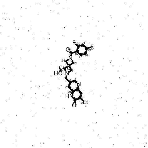 CCc1cc2ncc(CN3CC4(C3)CN(C(=O)c3ccc(F)cc3F)C4)cc2[nH]c1=O.O=CO